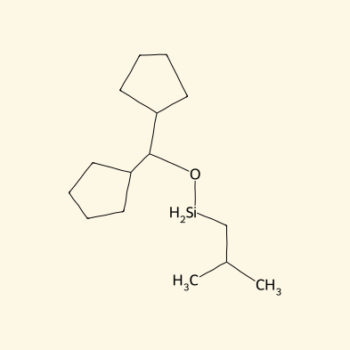 CC(C)C[SiH2]OC(C1CCCC1)C1CCCC1